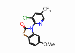 COc1ccc2sc(=O)n(-c3ncc(C(F)(F)F)cc3Cl)c2c1